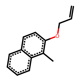 C=CCOc1ccc2ccccc2c1C